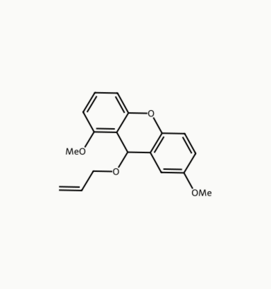 C=CCOC1c2cc(OC)ccc2Oc2cccc(OC)c21